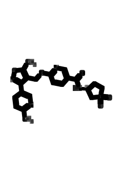 Cc1ccc(-c2noc(C)c2COc2ccc(C(=O)N[C@@H]3CCS(=O)(=O)C3)cn2)cn1